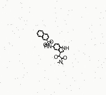 CN(C)C(=O)C(=O)c1c[nH]c2ccc(NS(=O)(=O)c3ccc4ccccc4c3)cc12